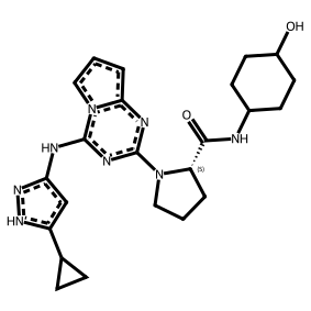 O=C(NC1CCC(O)CC1)[C@@H]1CCCN1c1nc(Nc2cc(C3CC3)[nH]n2)n2cccc2n1